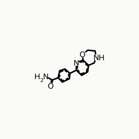 NC(=O)c1ccc(-c2ccc3c(n2)OCCNC3)cc1